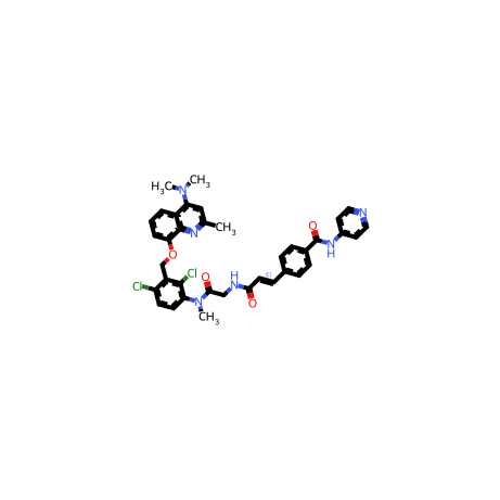 Cc1cc(N(C)C)c2cccc(OCc3c(Cl)ccc(N(C)C(=O)CNC(=O)/C=C/c4ccc(C(=O)Nc5ccncc5)cc4)c3Cl)c2n1